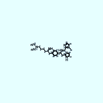 CCCN(CCC)CCCCC(N)Cc1ccc(C(Cc2ncc[nH]2)NCc2nccn2C)cc1